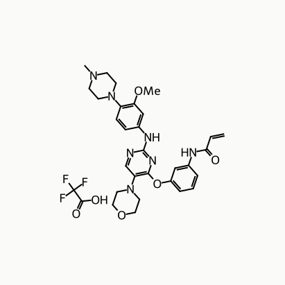 C=CC(=O)Nc1cccc(Oc2nc(Nc3ccc(N4CCN(C)CC4)c(OC)c3)ncc2N2CCOCC2)c1.O=C(O)C(F)(F)F